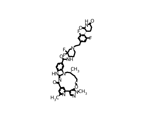 Cc1cc2cc(n1)-c1cnn(C)c1OCCC[C@@H](C)CN1/C(=N/C2=O)Nc2ccc(C(=O)N[C@H]3CCN(CCc4cc(F)c([C@H]5CCC(=O)NC5=O)c(F)c4)CC3(F)F)cc21